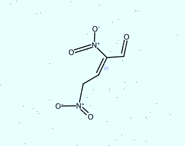 O=C/C(=C/C[N+](=O)[O-])[N+](=O)[O-]